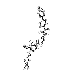 C[C@@H](CONC(=O)C(F)C1=CCN(c2ncc(C(F)(F)F)cn2)CC1)NC1=C(C(F)(F)F)C(=C=O)N(COCC[Si](C)(C)C)N=C1